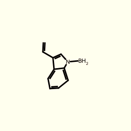 Bn1cc(C=C)c2ccccc21